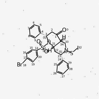 O=C1C[C@@H](c2ccccc2)N(S(=O)(=O)c2ccc(Br)cc2)[C@H]2C[C@@H](c3ccccc3)N(SI)C[C@@H]12